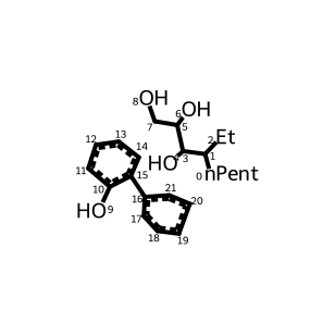 CCCCCC(CC)C(O)C(O)CO.Oc1ccccc1-c1ccccc1